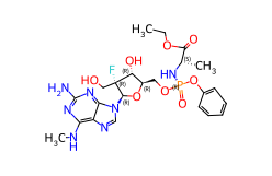 CCOC(=O)[C@H](C)N[P@@](=O)(OC[C@H]1O[C@@H](n2cnc3c(NC)nc(N)nc32)[C@@](F)(CO)[C@@H]1O)Oc1ccccc1